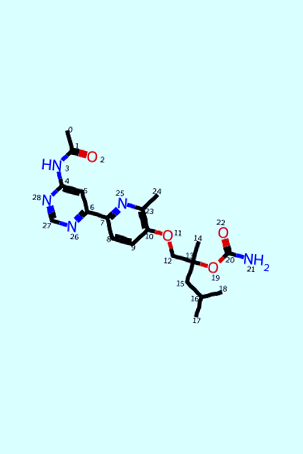 CC(=O)Nc1cc(-c2ccc(OCC(C)(CC(C)C)OC(N)=O)c(C)n2)ncn1